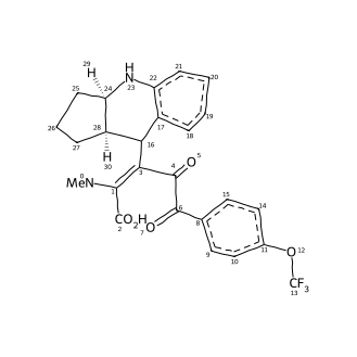 CNC(C(=O)O)=C(C(=O)C(=O)c1ccc(OC(F)(F)F)cc1)C1c2ccccc2N[C@@H]2CCC[C@H]12